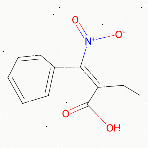 CCC(C(=O)O)=C(c1ccccc1)[N+](=O)[O-]